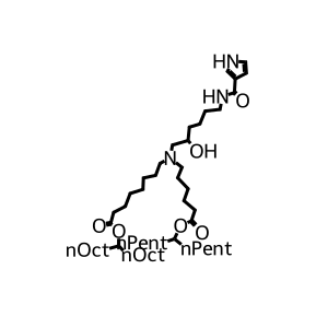 CCCCCCCCC(CCCCCCCC)OC(=O)CCCCCCCN(CCCCCC(=O)OC(CCCCC)CCCCC)CC(O)CCCCNC(=O)c1cc[nH]c1